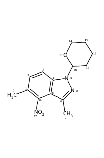 Cc1ccc2c(c(C)nn2C2CCCCO2)c1[N+](=O)[O-]